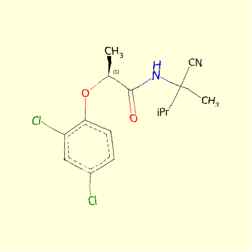 CC(C)C(C)(C#N)NC(=O)[C@H](C)Oc1ccc(Cl)cc1Cl